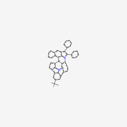 CC(C)(C)c1cc2c3cccc4c3n3c5c6c(ccc5c(c1)c23)-n1c(-c2ccccc2)c(-c2ccccc2)c2cc3ccccc3c(c21)B46